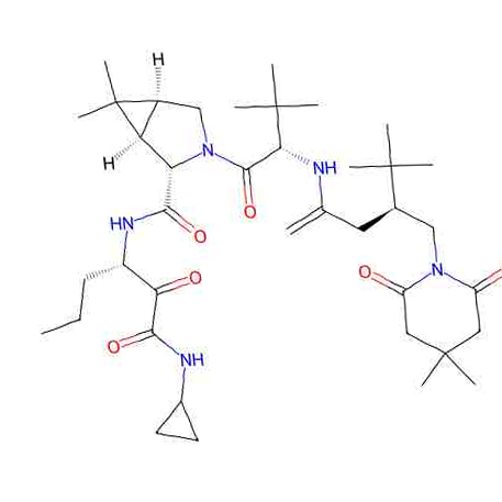 C=C(C[C@H](CN1C(=O)CC(C)(C)CC1=O)C(C)(C)C)N[C@H](C(=O)N1C[C@H]2[C@@H]([C@H]1C(=O)N[C@@H](CCC)C(=O)C(=O)NC1CC1)C2(C)C)C(C)(C)C